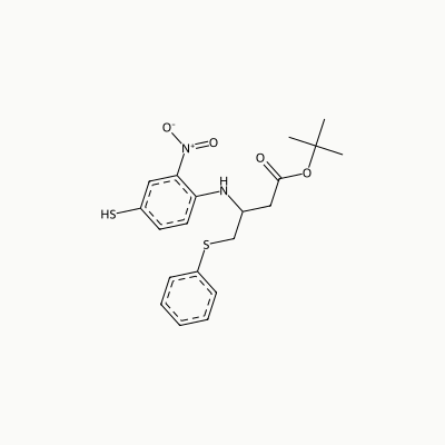 CC(C)(C)OC(=O)CC(CSc1ccccc1)Nc1ccc(S)cc1[N+](=O)[O-]